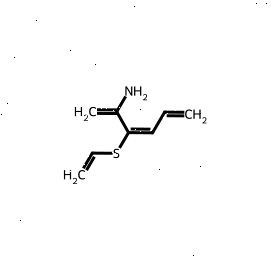 C=C/C=C(/SC=C)C(=C)N